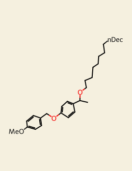 CCCCCCCCCCCCCCCCCCOC(C)c1ccc(OCc2ccc(OC)cc2)cc1